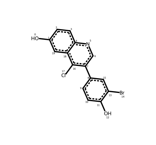 Oc1ccc2ncc(-c3ccc(O)c(Br)c3)c(Cl)c2c1